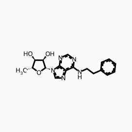 C[C@H]1O[C@@H](n2cnc3c(NCCc4ccccc4)ncnc32)[C@H](O)[C@@H]1O